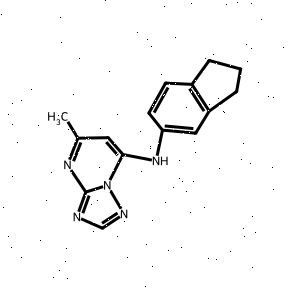 Cc1cc(Nc2ccc3c(c2)CCC3)n2ncnc2n1